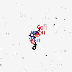 C/C(=C\C(C(C)C)N(C)C(=O)[C@@H](NC(=O)CC(C)(C)c1ccccc1)C(C)(C)C)C(=O)N[C@H](CCC(=O)O)C(=O)O